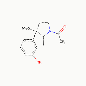 COC1(c2cccc(O)c2)CCN(C(=O)C(F)(F)F)C1C